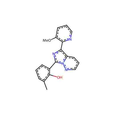 COc1cccnc1-c1nc(-c2cccc(C)c2O)n2ncccc12